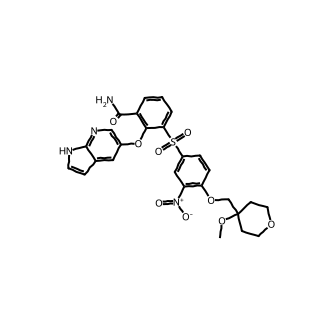 COC1(COc2ccc(S(=O)(=O)c3cccc(C(N)=O)c3Oc3cnc4[nH]ccc4c3)cc2[N+](=O)[O-])CCOCC1